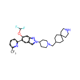 FC(F)Oc1cc2nn(C3CCN(CC4CCC5(CCNCC5)CC4)CC3)cc2cc1-c1cccc(C(F)(F)F)n1